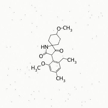 CCc1cc(C)cc(OC)c1C1C(=O)NC2(CCC(OC)CC2)C1=O